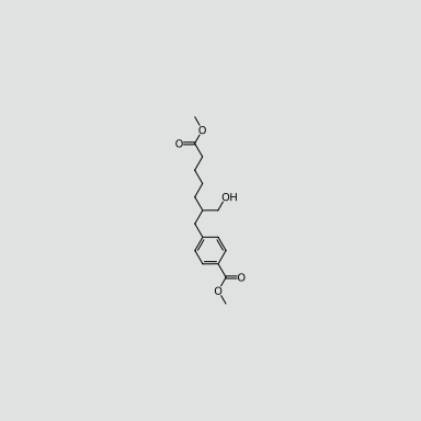 COC(=O)CCCCC(CO)Cc1ccc(C(=O)OC)cc1